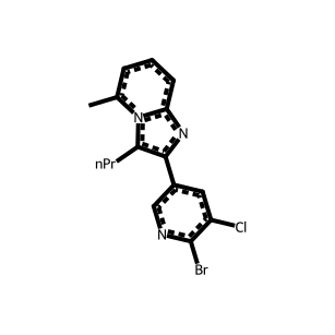 CCCc1c(-c2cnc(Br)c(Cl)c2)nc2cccc(C)n12